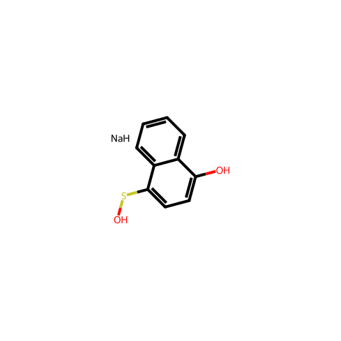 OSc1ccc(O)c2ccccc12.[NaH]